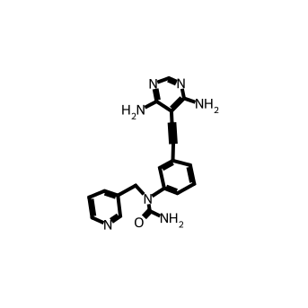 NC(=O)N(Cc1cccnc1)c1cccc(C#Cc2c(N)ncnc2N)c1